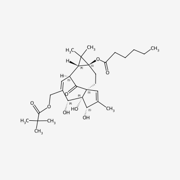 CCCCCC(=O)O[C@@]12CC[C@]34C=C(C)[C@H](O)[C@@]3(O)[C@H](O)C(COC(=O)C(C)(C)C)=C[C@H](C4=O)[C@@H]1C2(C)C